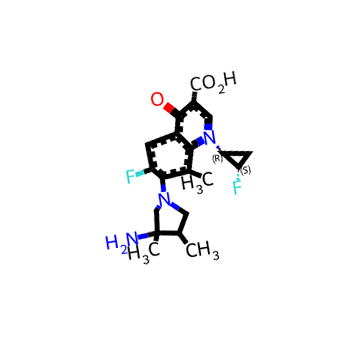 Cc1c(N2CC(C)C(C)(N)C2)c(F)cc2c(=O)c(C(=O)O)cn([C@@H]3C[C@@H]3F)c12